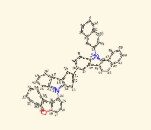 c1ccc2cc(-n3c4ccc(-c5ccc6c(c5)c5ccccc5n6-c5cccc6oc7ccccc7c56)cc4c4ccc5ccccc5c43)ccc2c1